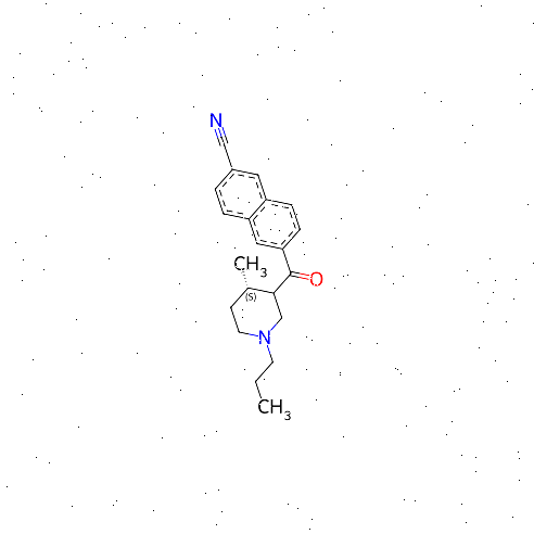 CCCN1CC[C@H](C)C(C(=O)c2ccc3cc(C#N)ccc3c2)C1